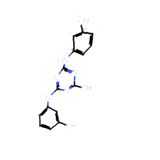 Cc1cccc(Nc2nc(C)nc(Nc3cccc(C)c3)n2)c1